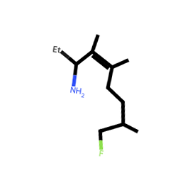 CCC(N)/C(C)=C(/C)CCC(C)CF